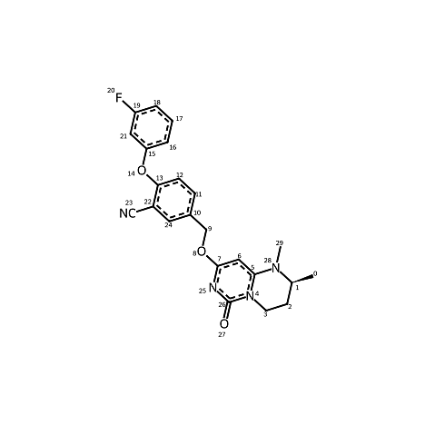 C[C@H]1CCn2c(cc(OCc3ccc(Oc4cccc(F)c4)c(C#N)c3)nc2=O)N1C